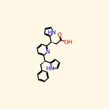 O=C(O)C[C@@H](c1cccc([C@H](Cc2ccccc2)c2ccc[nH]2)n1)c1ccc[nH]1